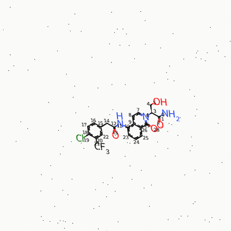 NC(=O)[C@H](CO)n1ccc2c(NC(=O)Cc3ccc(Cl)c(C(F)(F)F)c3)cccc2c1=O